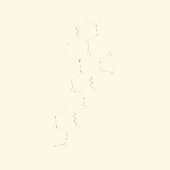 CC(=O)N1CCc2ccc(Nc3ncc4c(=O)n(-c5ccccc5Cl)c5nccn5c4n3)cc21